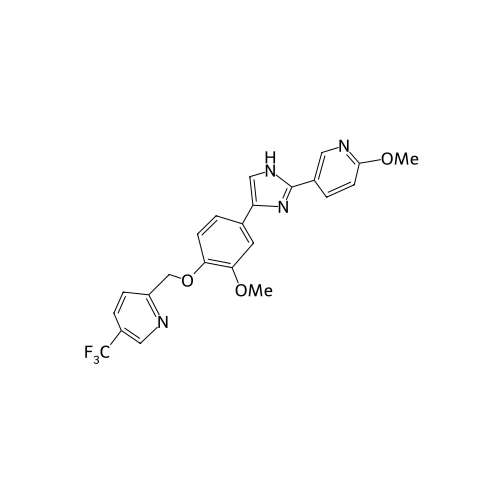 COc1ccc(-c2nc(-c3ccc(OCc4ccc(C(F)(F)F)cn4)c(OC)c3)c[nH]2)cn1